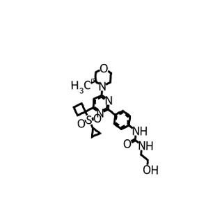 C[C@H]1COCCN1c1cc(C2(S(=O)(=O)C3CC3)CCC2)nc(-c2ccc(NC(=O)NCCO)cc2)n1